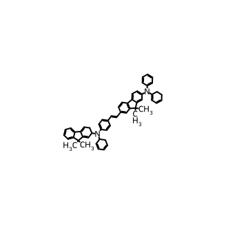 CC1(C)C2=CC(N(c3ccc(/C=C/c4ccc5c(c4)C(C)(C)c4cc(N(C6=CC=CCC6)c6ccccc6)ccc4-5)cc3)C3C=CC=CC3)CC=C2c2ccccc21